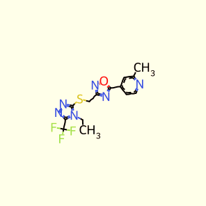 CCn1c(SCc2noc(-c3ccnc(C)c3)n2)nnc1C(F)(F)F